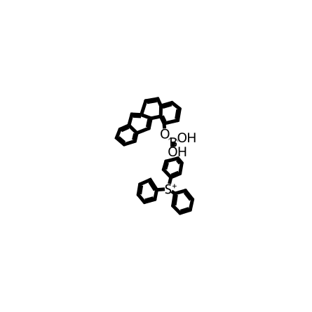 OB(O)Oc1cccc2ccc3cc4ccccc4cc3c12.c1ccc([S+](c2ccccc2)c2ccccc2)cc1